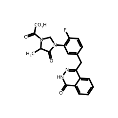 CC1C(=O)N(c2cc(Cc3n[nH]c(=O)c4ccccc34)ccc2F)CN1C(=O)C(=O)O